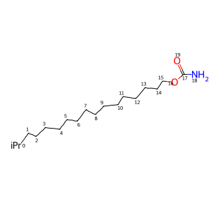 CC(C)CCCCCCCCCCCCCCCOC(N)=O